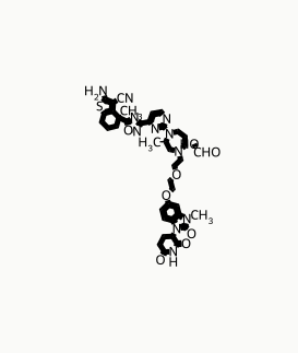 C[C@H]1CN(CCOCCOc2ccc3c(c2)n(C)c(=O)n3C2CCC(=O)NC2=O)CCCN1c1nccc(-c2noc([C@@]3(C)CCCc4sc(N)c(C#N)c43)n2)n1.O=CO